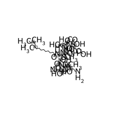 CC[C@H](C)C[C@H](C)CCCCCCCCC(=O)N[C@@H](C[C@@H](O)[C@H](NC(=O)[C@@H]1[C@@H](O)CCN1C(=O)[C@@H](C)[C@H](O)CCN)OCCN)C(=O)N[C@H](C(=O)N1C[C@H](O)C[C@H]1C(=O)N[C@H](C(C)=O)[C@H](O)[C@@H](O)c1ccc(O)cc1)[C@@H](C)O